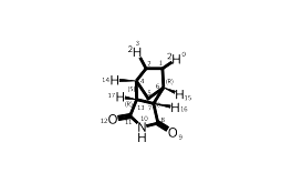 [2H]C1C([2H])[C@@H]2C[C@H]1[C@@H]1C(=O)NC(=O)[C@@H]12